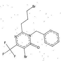 O=c1c(Br)c(C(F)(F)F)nc(CCCBr)n1Cc1ccccc1